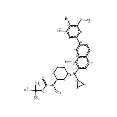 CN(C(=O)OC(C)(C)C)[C@H]1CC[C@H](Nc2c(C(=O)C3CC3)cnc3ccc(-c4cc(Cl)c(O)c(CO)c4)cc23)CC1